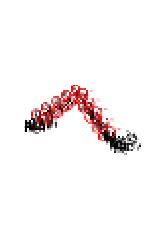 O=C([O-])[O-].O=C([O-])[O-].O=C([O-])[O-].O=C([O-])[O-].O=C([O-])[O-].O=C([O-])[O-].O=C([O-])[O-].O=C([O-])[O-].O=C([O-])[O-].[Ca+2].[Ca+2].[Fe+3].[Fe+3].[Mg+2].[Mg+2].[Mn+2].[Mn+2]